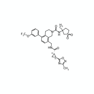 Cc1noc([C@H]2C[C@@H]2C(=O)NCc2ccc(-c3cccc(OC(F)(F)F)c3)c3c2CN(C(=O)NC2(C)CCS(=O)(=O)C2)CC3)n1